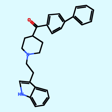 O=C(c1ccc(-c2ccccc2)cc1)C1CCN(CCc2c[nH]c3ccccc23)CC1